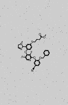 COC(=O)CCCSc1ccc(Oc2c(F)cnc(Oc3cc(C#N)ccc3OCc3ccccc3)c2F)c(C2N=CCN2C)c1